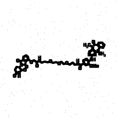 COc1cc(C(=O)NCCCOCCOCCOCCCNC(=O)COc2cccc3c2C(=O)N(C2CCC(=O)NC2=O)C3=O)ccc1Nc1ncc2c(n1)N(C)c1ccccc1C(=O)N2C